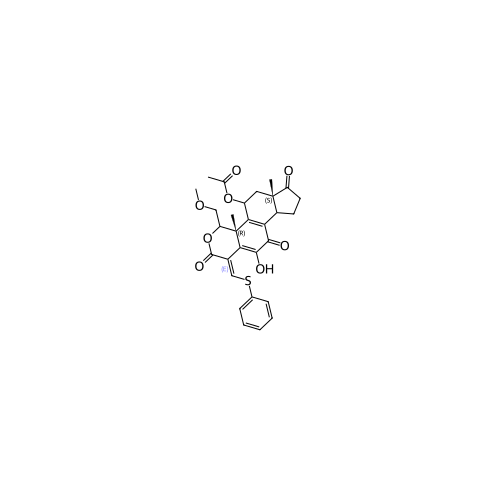 COCC1OC(=O)/C(=C/Sc2ccccc2)C2=C(O)C(=O)C3=C(C(OC(C)=O)C[C@]4(C)C(=O)CCC34)[C@]21C